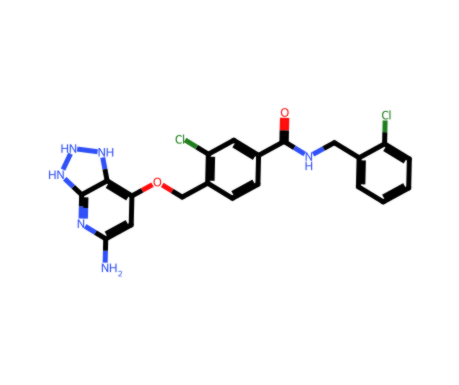 Nc1cc(OCc2ccc(C(=O)NCc3ccccc3Cl)cc2Cl)c2c(n1)NNN2